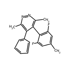 Cc1cc(F)c(-c2c(C)nnc(C)c2-c2ccccc2)c(F)c1